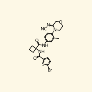 Cc1cc(NC(=O)C2(NC(=O)c3ccc(Br)s3)CCC2)ccc1N1CCOC/C1=N/C#N